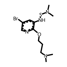 CN(C)CCCOc1ncc(Br)cc1NSN(C)C